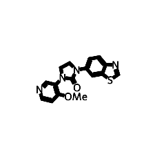 COc1ccncc1N1CCN(c2ccc3ncsc3c2)C1=O